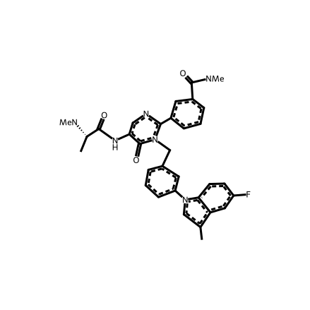 CNC(=O)c1cccc(-c2ncc(NC(=O)[C@H](C)NC)c(=O)n2Cc2cccc(-n3cc(C)c4cc(F)ccc43)c2)c1